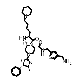 CC(C)NC(CCCCN1CCCCC1)C(=O)N1CCN(C2=N[C@@H](C)[C@H](c3ccccc3)O2)C[C@H]1C(=O)NCc1cc(CN)cs1